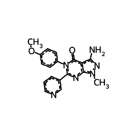 COc1ccc(-n2c(-c3cccnc3)nc3c(c(N)nn3C)c2=O)cc1